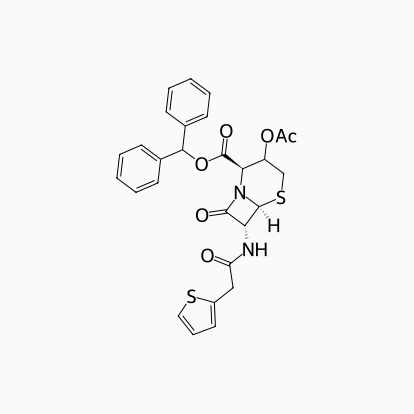 CC(=O)OC1CS[C@H]2[C@H](NC(=O)Cc3cccs3)C(=O)N2[C@H]1C(=O)OC(c1ccccc1)c1ccccc1